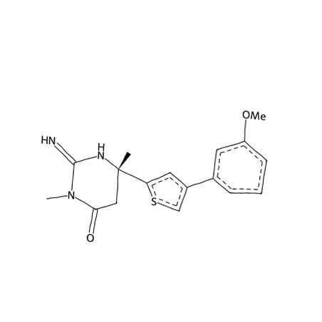 COc1cccc(-c2csc([C@]3(C)CC(=O)N(C)C(=N)N3)c2)c1